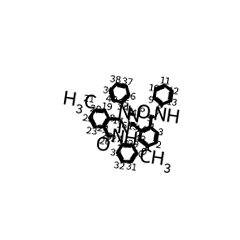 Cc1ccc(C(=O)Nc2ccccc2)c(-c2nc(-c3cc(C)ccc3C(=O)Nc3ccccc3)n(-c3ccccc3)n2)c1